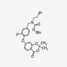 CC(C)CCN(Cc1ccc(Oc2ccc3c(c2)OC(C)(C)OC3=O)c(F)c1)C(=O)OC(C)(C)C